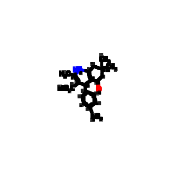 CCOC(=O)C1=C(C)NC2=C(C(=O)CC(C)(C)C2)C1c1ccc([N+](=O)[O-])cc1